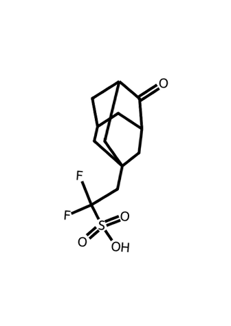 O=C1C2CC3CC1CC(CC(F)(F)S(=O)(=O)O)(C3)C2